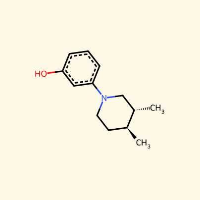 C[C@H]1CCN(c2cccc(O)c2)C[C@@H]1C